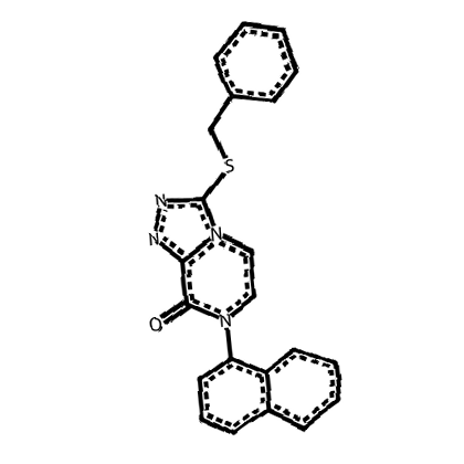 O=c1c2nnc(SCc3ccccc3)n2ccn1-c1cccc2ccccc12